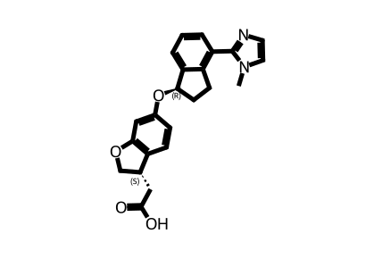 Cn1ccnc1-c1cccc2c1CC[C@H]2Oc1ccc2c(c1)OC[C@H]2CC(=O)O